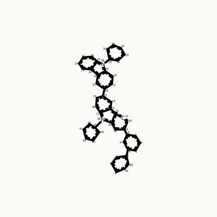 c1ccc(-c2cccc(-c3ccc4c5cc(-c6ccc7c(c6)c6ccccc6n7-c6ccccc6)ccc5n(-c5ccccc5)c4c3)c2)cc1